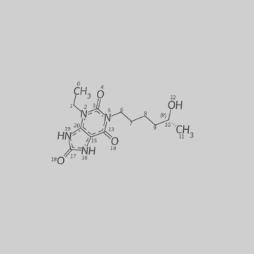 CCn1c(=O)n(CCCC[C@@H](C)O)c(=O)c2[nH]c(=O)[nH]c21